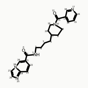 O=C(NCCCCC1CCN(C(=O)c2cccnc2)CC1)c1ccc2nccn2c1